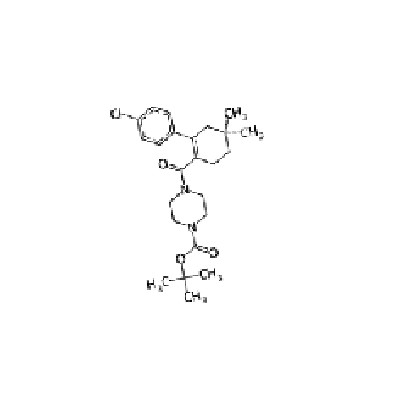 CC1(C)CCC(C(=O)N2CCN(C(=O)OC(C)(C)C)CC2)=C(c2ccc(Cl)cc2)C1